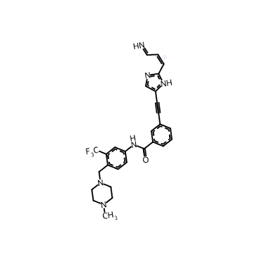 CN1CCN(Cc2ccc(NC(=O)c3cccc(C#Cc4cnc(/C=C\C=N)[nH]4)c3)cc2C(F)(F)F)CC1